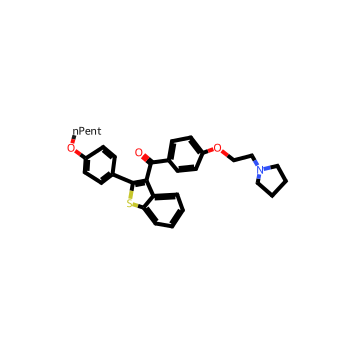 CCCCCOc1ccc(-c2sc3ccccc3c2C(=O)c2ccc(OCCN3CCCC3)cc2)cc1